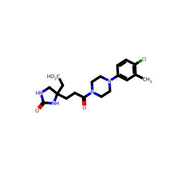 Cc1cc(N2CCN(C(=O)CCC3(CC(=O)O)CNC(=O)N3)CC2)ccc1Cl